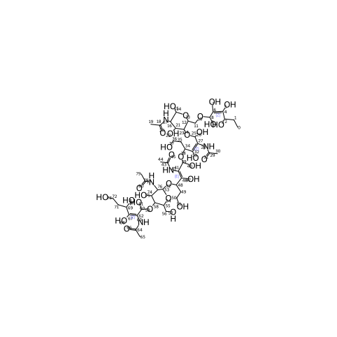 CCC(O)/C(O)=C(/O)C(O)OCC1OC(O)C(NC(C)=O)C(O)C1OC(O)/C(NC(C)=O)=C(/O)C(CCO)OC(O)/C(NC(C)=O)=C(\O)C(CCO)OC1OC(CO)C(OC(O)/C(NC(C)=O)=C(/O)C(O)CCO)C(O)C1NC(C)=O